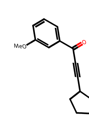 COc1cccc(C(=O)C#CC2CCCC2)c1